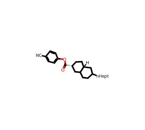 CCCCCCCC1CCC2C[C@H](C(=O)Oc3ccc(C#N)cc3)CC[C@@H]2C1